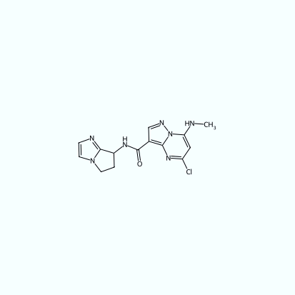 CNc1cc(Cl)nc2c(C(=O)NC3CCn4ccnc43)cnn12